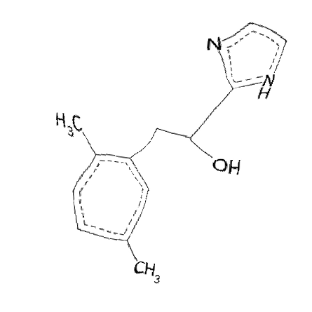 Cc1ccc(C)c(CC(O)c2ncc[nH]2)c1